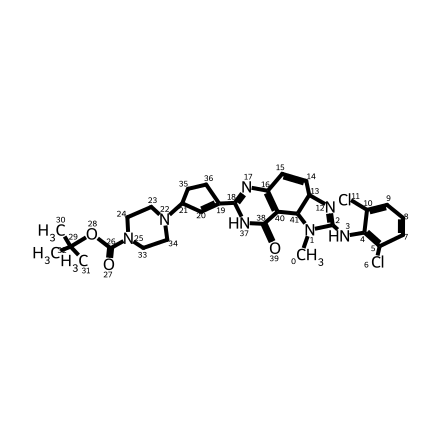 CN1C(Nc2c(Cl)cccc2Cl)=NC2C=Cc3nc(C4=CC(N5CCN(C(=O)OC(C)(C)C)CC5)CC4)[nH]c(=O)c3C21